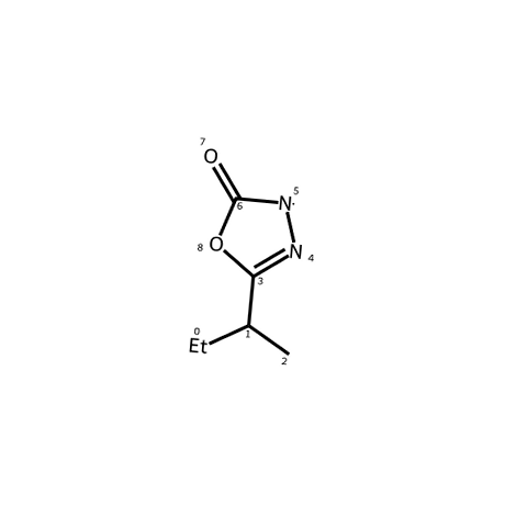 CCC(C)C1=N[N]C(=O)O1